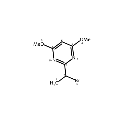 COc1cc(OC)nc(C(C)Br)n1